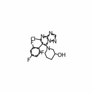 OC1CCCN(c2c(-c3c(F)cc(F)cc3F)c(Cl)nc3ncnn23)C1